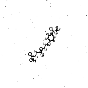 CC(C)(C)C(=O)c1ccc(OCCOC(=O)CCC(=O)O)cc1